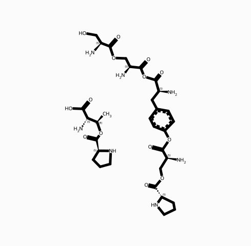 C[C@@H](OC(=O)[C@@H]1CCCN1)[C@H](N)C(=O)O.N[C@@H](CO)C(=O)OC[C@H](N)C(=O)OC(=O)[C@@H](N)Cc1ccc(OC(=O)[C@@H](N)COC(=O)[C@@H]2CCCN2)cc1